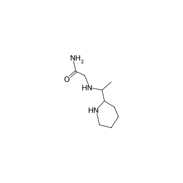 CC(NCC(N)=O)C1CCCCN1